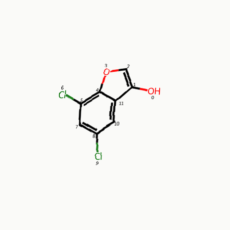 Oc1coc2c(Cl)cc(Cl)cc12